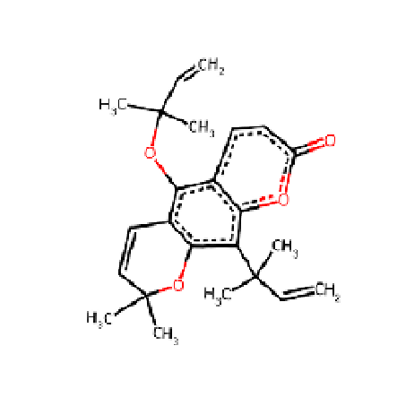 C=CC(C)(C)Oc1c2c(c(C(C)(C)C=C)c3oc(=O)ccc13)OC(C)(C)C=C2